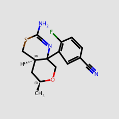 C[C@H]1C[C@H]2CSC(N)=NC2(c2cc(C#N)ccc2F)CO1